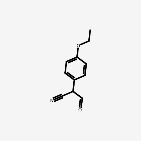 CCOc1ccc(C(C#N)C=O)cc1